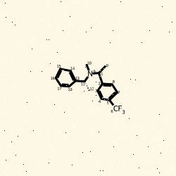 CC(c1ccc(C(F)(F)F)cc1)N(C)[C@H](C)c1ccccc1